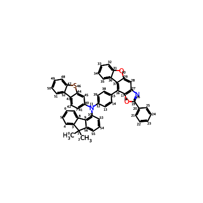 CC1(C)c2ccccc2-c2c(N(c3ccc(-c4c5oc(-c6ccccc6)nc5cc5oc6ccccc6c45)cc3)c3ccc4c(c3)sc3ccccc34)cccc21